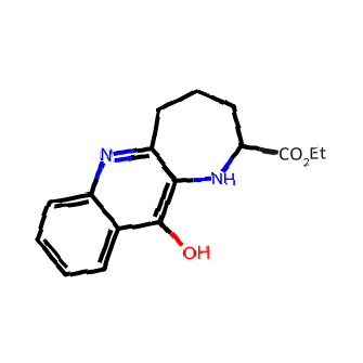 CCOC(=O)C1CCCc2nc3ccccc3c(O)c2N1